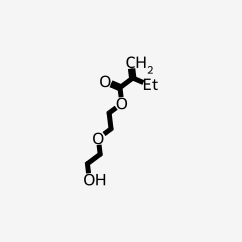 C=C(CC)C(=O)OCCOCCO